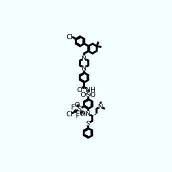 CN(C)CC[C@H](CSc1ccccc1)Nc1ccc(S(=O)(=O)NC(=O)c2ccc(N3CCN(CC4=C(c5ccc(Cl)cc5)CC(C)(C)CC4)CC3)cc2)cc1S(=O)(=O)C(F)(F)Cl